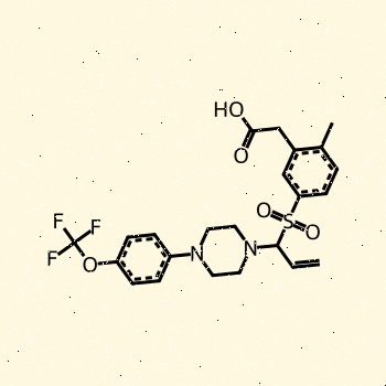 C=CC(N1CCN(c2ccc(OC(F)(F)F)cc2)CC1)S(=O)(=O)c1ccc(C)c(CC(=O)O)c1